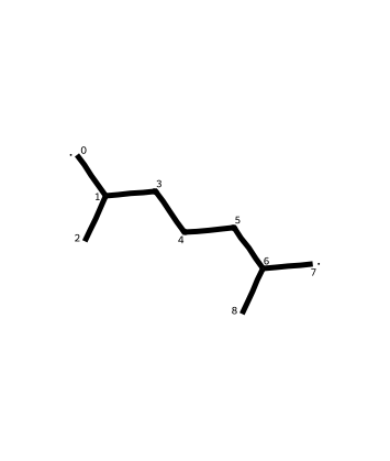 [CH2]C(C)CCCC([CH2])C